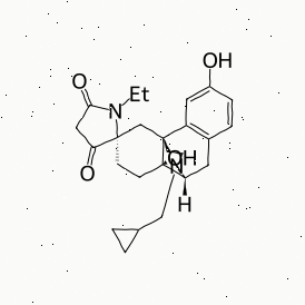 CCN1C(=O)CC(=O)[C@@]12CC[C@@]1(O)[C@H]3Cc4ccc(O)cc4[C@@]1(CCN3CC1CC1)C2